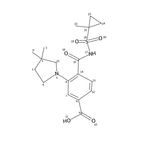 CC1(C)CCN(c2cc(C(=O)O)ccc2C(=O)NS(=O)(=O)C2(C)CC2)C1